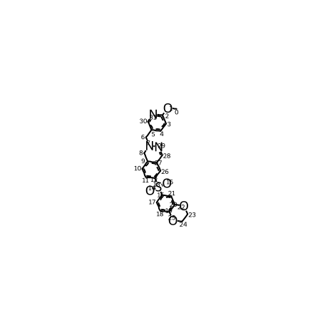 COc1ccc(CN2Cc3ccc(S(=O)(=O)c4ccc5c(c4)OCCO5)cc3C=N2)cn1